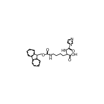 O=C(NCCCCC(NC(=O)n1ccnc1)C(=O)O)OCC1c2ccccc2-c2ccccc21